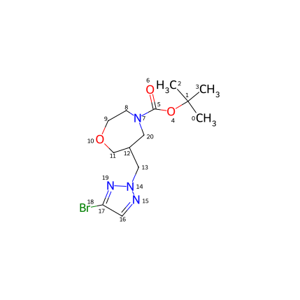 CC(C)(C)OC(=O)N1CCOCC(Cn2ncc(Br)n2)C1